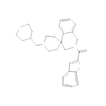 O=C(c1cc2ccccc2s1)N1Cc2ccccc2C2(CCN(CC3CCNCC3)CC2)C1